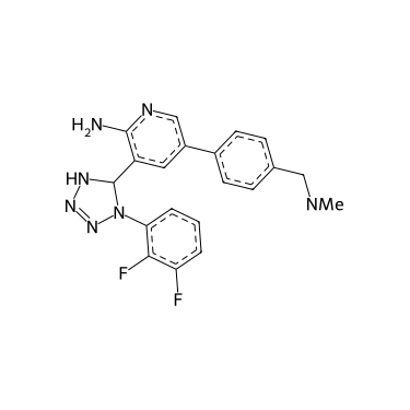 CNCc1ccc(-c2cnc(N)c(C3NN=NN3c3cccc(F)c3F)c2)cc1